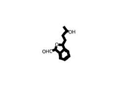 CC(O)CCC1OC(C=O)c2ccccc21